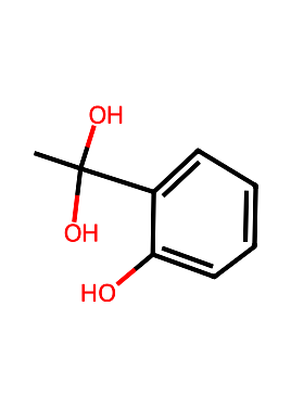 CC(O)(O)c1ccccc1O